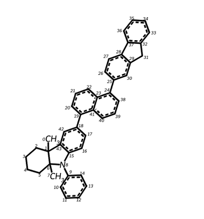 CC12CCCCC1(C)N(c1ccccc1)c1ccc(-c3cccc4c(-c5ccc6c(c5)Cc5ccccc5-6)cccc34)cc12